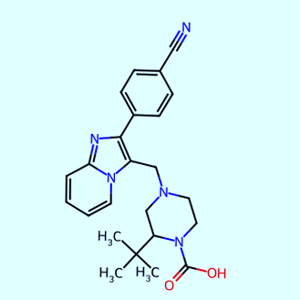 CC(C)(C)C1CN(Cc2c(-c3ccc(C#N)cc3)nc3ccccn23)CCN1C(=O)O